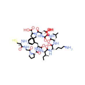 CC[C@H](C)[C@H](NC(=O)[C@H](Cc1ccccc1)NC(=O)[C@@H]1CCCN1C(=O)CNC(=O)[C@@H](N)CS)C(=O)N[C@@H](CCCCN)C(=O)N[C@@H](CC(C)C)C(=O)N[C@@H](CO)C(=O)N[C@@H](CC(=O)O)C(=O)N1CCC[C@H]1C(=O)O